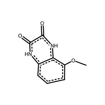 COc1cccc2[nH]c(=O)c(=O)[nH]c12